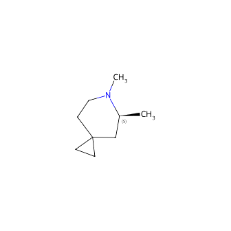 C[C@H]1CC2(CCN1C)CC2